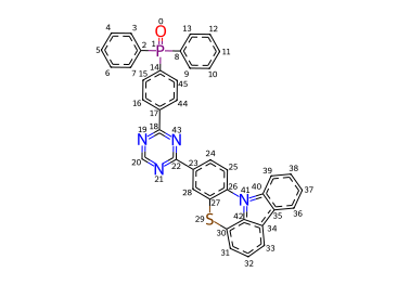 O=P(c1ccccc1)(c1ccccc1)c1ccc(-c2ncnc(-c3ccc4c(c3)Sc3cccc5c6ccccc6n-4c35)n2)cc1